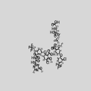 CCOc1cc(Oc2ccc(C(F)(F)F)cc2Cl)ccc1[N+](=O)[O-].COc1c(Cl)ccc(Cl)c1C(=O)O.COc1nc(C)nc(NC(=O)NS(=O)(=O)c2ccccc2CCC(F)(F)F)n1.C[S+](C)C.O=C(O)CNCP(=O)([O-])O